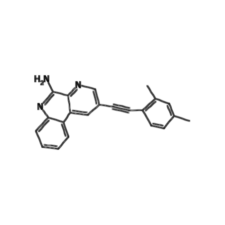 Cc1ccc(C#Cc2cnc3c(N)nc4ccccc4c3c2)c(C)c1